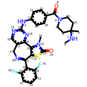 CNC1(C)CCN(C(=O)c2ccc(Nc3ncc4c(n3)-c3c(sc(=O)n3C)C(c3c(F)cccc3F)=NC4)cc2)CC1